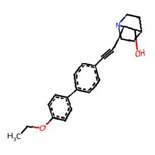 CCOc1ccc(-c2ccc(C#CC3C(O)C4CCN3CC4)cc2)cc1